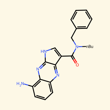 CCCCN(Cc1ccccc1)C(=O)c1c[nH]c2nc3c(N)cccc3nc12